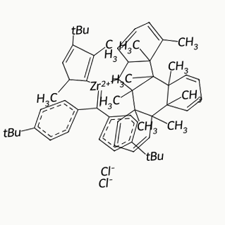 CC1=CC=CC2[CH]([Zr+2]([C]3=C(C)C(C(C)(C)C)=CC3C)=[C](c3ccc(C(C)(C)C)cc3)c3ccc(C(C)(C)C)cc3)C3(C)C4(C)C=CC=CC4(C)C4(C)C=CC=CC4(C)C3(C)C12C.[Cl-].[Cl-]